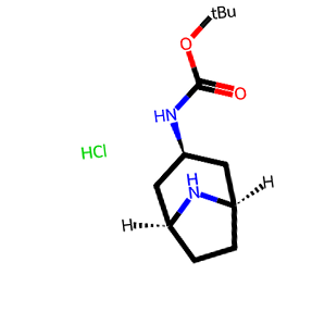 CC(C)(C)OC(=O)N[C@H]1C[C@H]2CC[C@@H](C1)N2.Cl